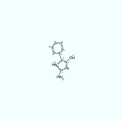 Nc1nc(O)c(-c2ccccc2)[nH]1